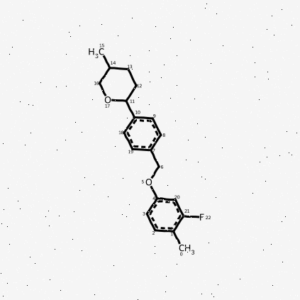 Cc1ccc(OCc2ccc(C3CCC(C)CO3)cc2)cc1F